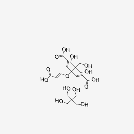 O=C(O)C=COC(C=CC(=O)O)(C=CC(=O)O)C(CO)(CO)CO.OCC(CO)(CO)CO